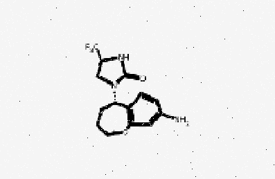 Nc1ccc2c(c1)OCCC[C@@H]2N1C[C@@H](C(F)(F)F)NC1=O